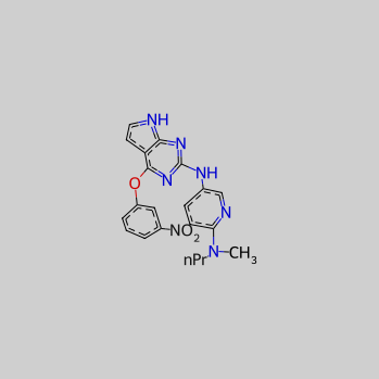 CCCN(C)c1ccc(Nc2nc(Oc3cccc([N+](=O)[O-])c3)c3cc[nH]c3n2)cn1